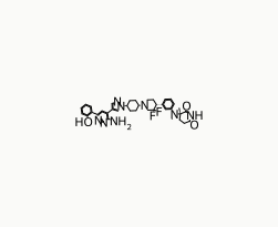 CN(c1cccc([C@H]2CCN([C@H]3CC[C@H](n4cc(-c5cc(-c6ccccc6O)nnc5N)cn4)CC3)CC2(F)F)c1)[C@@]1(C)CCC(=O)NC1=O